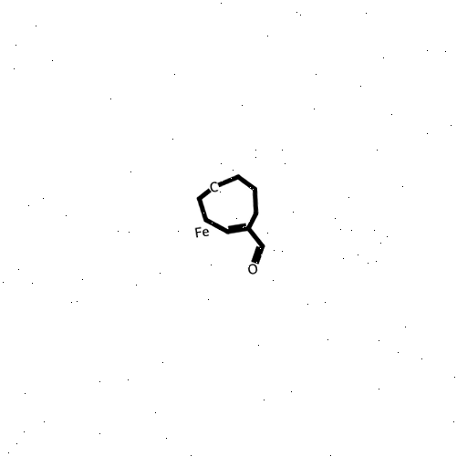 O=CC1=CCCCCCC1.[Fe]